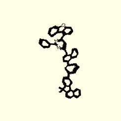 CC1(C)c2ccc(-c3cccc(-c4ccc(-c5cc(-c6cccc7oc8ccccc8c67)nc(-c6ccccc6)n5)c5ccccc45)c3)cc2-c2c1ccc1ccccc21